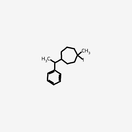 CC(c1ccccc1)C1CCCC(C)(I)CC1